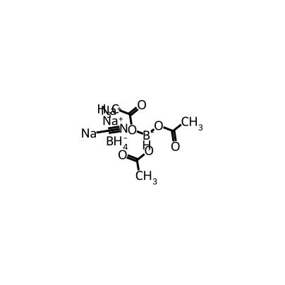 CC(=O)O[BH-](OC(C)=O)OC(C)=O.N#[C][Na].[BH4-].[Na+].[Na+]